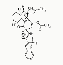 C=CC[N+]1(C)CC[C@@]23C4=C5C[C@@H]1[C@@H]2CCC[C@@H]3OC4C(NC(=O)C(=Cc1ccccc1)C(F)(F)F)(OC)C=C5OC(C)=O